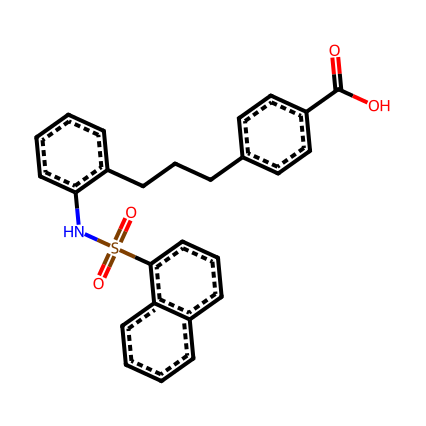 O=C(O)c1ccc(CCCc2ccccc2NS(=O)(=O)c2cccc3ccccc23)cc1